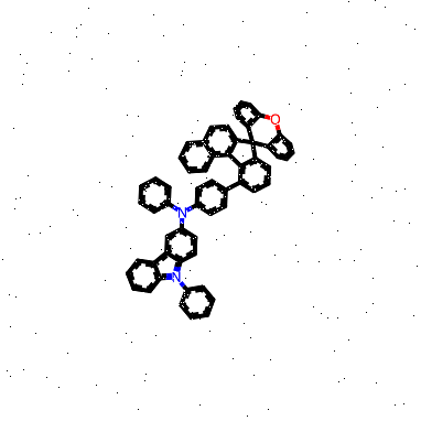 c1ccc(N(c2ccc(-c3cccc4c3-c3c(ccc5ccccc35)C43c4ccccc4Oc4ccccc43)cc2)c2ccc3c(c2)c2ccccc2n3-c2ccccc2)cc1